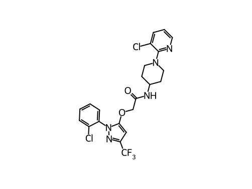 O=C(COc1cc(C(F)(F)F)nn1-c1ccccc1Cl)NC1CCN(c2ncccc2Cl)CC1